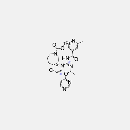 Cc1cc(C(=O)N/C(=N/C(C)Oc2ccncn2)N(/C=C\Cl)[C@@H]2CCCCN(C(=O)OC(C)(C)C)C2)ccn1